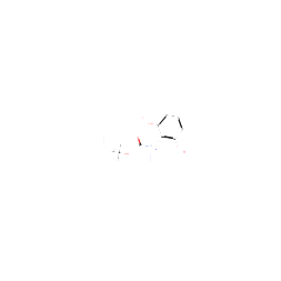 COc1cccc(O)c1NC(=O)OC(C)(C)C